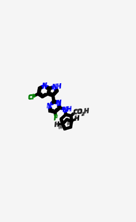 O=C(O)C1C(Nc2nc(-c3c[nH]c4ncc(Cl)cc34)ncc2F)C[C@H]2CC[C@@H]1C2